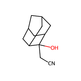 N#CCC1(O)C2CC3CC(C2)CC1C3